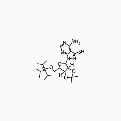 CC(C)[Si](OC[C@H]1O[C@@H](n2nc(S)c3c(N)ncnc32)[C@@H]2OC(C)(C)O[C@@H]21)(C(C)C)C(C)C